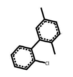 Cc1c[c]c(C)c(-c2ccccc2Cl)c1